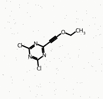 CCOC#Cc1nc(Cl)nc(Cl)n1